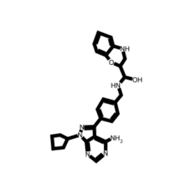 Nc1ncnc2c1c(-c1ccc(CNC(O)C3CNc4ccccc4O3)cc1)nn2C1CCCC1